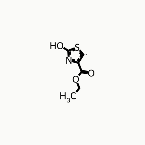 CCOC(=O)c1[c]sc(O)n1